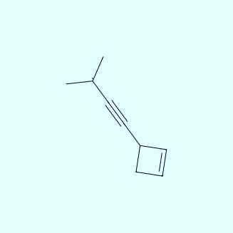 C[C](C)C#CC1C=CC1